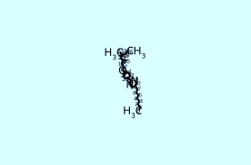 CCCCCCCCc1cnc(-c2ccc(OCCC(F)CC(C)CCC)cc2)nc1